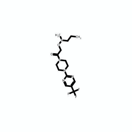 CCCN(C)OCC(=O)N1CCN(c2ncc(C(F)(F)F)cn2)CC1